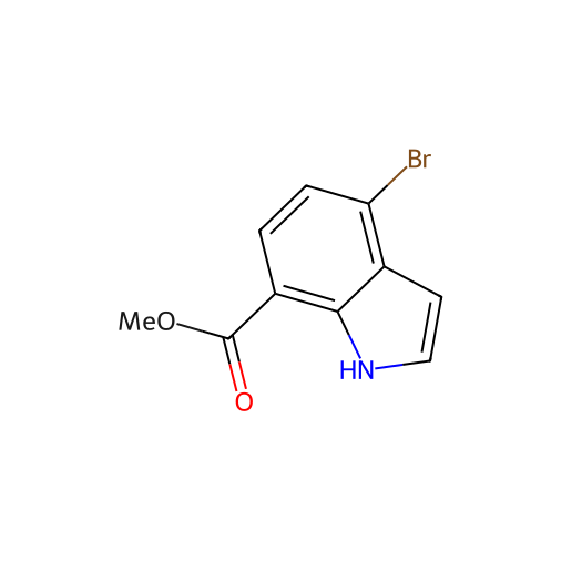 COC(=O)c1ccc(Br)c2cc[nH]c12